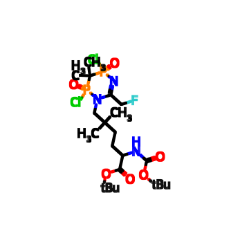 CC(C)(CCC(NC(=O)OC(C)(C)C)C(=O)OC(C)(C)C)CN1C(CF)=NP(=O)(Cl)C(C)(C)P1(=O)Cl